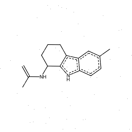 C=C(C)NC1CCCc2c1[nH]c1ccc(C)cc21